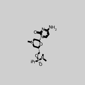 CC(C)P(=O)(OC[C@@H]1CN(C)C[C@H](n2ccc(N)nc2=O)O1)N(C)C